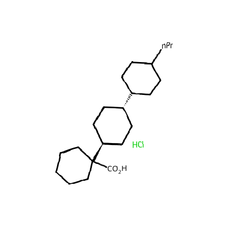 CCCC1CCC([C@H]2CC[C@H](C3(C(=O)O)CCCCC3)CC2)CC1.Cl